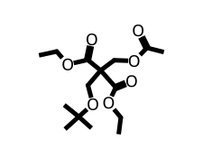 CCOC(=O)C(COC(C)=O)(COC(C)(C)C)C(=O)OCC